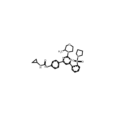 CC1COCCN1c1nc(-c2ccc(NC(=O)NC3CC3)cc2)cc(-c2ccccc2S(=O)(=O)N2CCCC2)n1